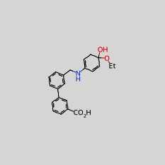 CCOC1(O)C=CC(NCc2cccc(-c3cccc(C(=O)O)c3)c2)=CC1